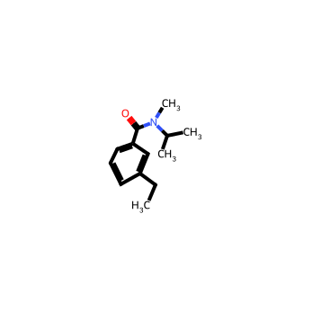 CCc1cccc(C(=O)N(C)C(C)C)c1